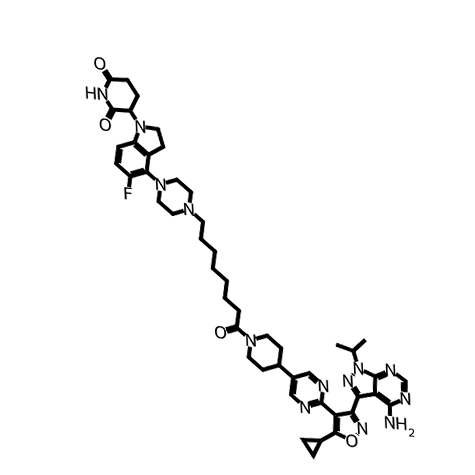 CC(C)n1nc(-c2noc(C3CC3)c2-c2ncc(C3CCN(C(=O)CCCCCCCN4CCN(c5c(F)ccc6c5CCN6C5CCC(=O)NC5=O)CC4)CC3)cn2)c2c(N)ncnc21